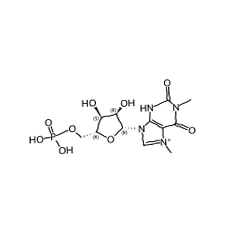 Cn1c(=O)[nH]c2c(c1=O)[n+](C)cn2[C@@H]1O[C@H](COP(=O)(O)O)[C@@H](O)[C@H]1O